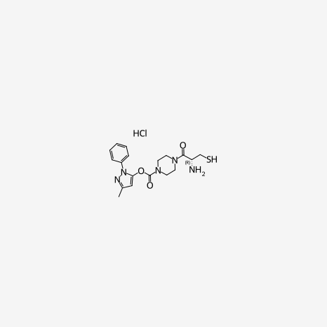 Cc1cc(OC(=O)N2CCN(C(=O)[C@@H](N)CS)CC2)n(-c2ccccc2)n1.Cl